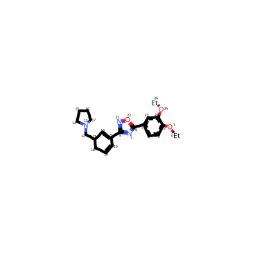 CCOc1ccc(-c2nc(C3=CC(CN4CCCC4)CC=C3)no2)cc1OCC